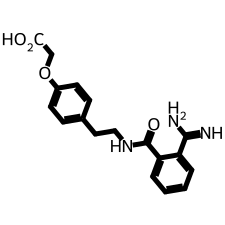 N=C(N)c1ccccc1C(=O)NCCc1ccc(OCC(=O)O)cc1